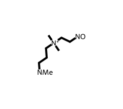 CNCCC[N+](C)(C)CCN=O